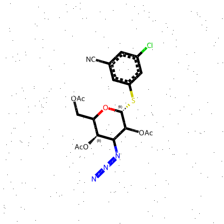 CC(=O)OCC1O[C@H](Sc2cc(Cl)cc(C#N)c2)C(OC(C)=O)C(N=[N+]=[N-])[C@H]1OC(C)=O